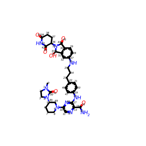 CN1CCN([C@@H]2CCCN(c3cnc(C(N)=O)c(Nc4ccc(CCCNc5ccc6c(c5)C(O)N(C5CCC(=O)NC5=O)C6=O)cc4)n3)C2)C1=O